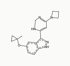 CC1(Oc2ccc3[nH]nc(C4=CC(N5CCC5)=NCN4)c3c2)CC1